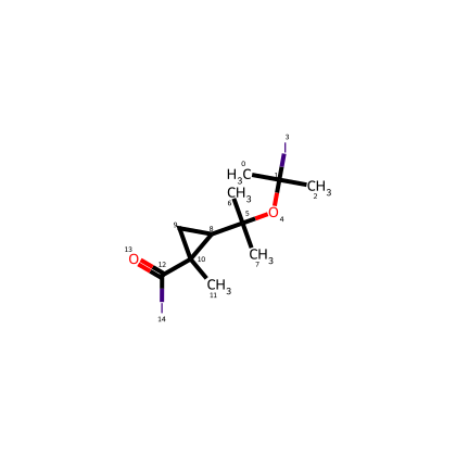 CC(C)(I)OC(C)(C)C1CC1(C)C(=O)I